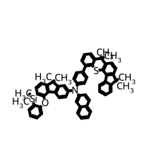 CC1(C)c2cccc(-c3ccc(N(c4ccc5c(c4)C(C)(C)c4ccc6c(c4-5)Oc4ccccc4[Si]6(C)C)c4ccc5ccccc5c4)cc3)c2Sc2c1ccc1c2-c2ccccc2C1(C)C